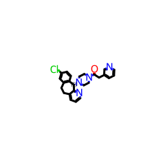 O=C(Cc1cccnc1)N1CCN([C@H]2c3ccc(Cl)cc3CCc3cccnc32)CC1